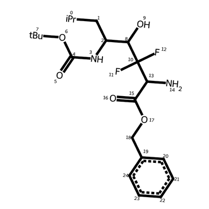 CC(C)CC(NC(=O)OC(C)(C)C)C(O)C(F)(F)C(N)C(=O)OCc1ccccc1